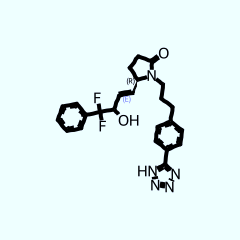 O=C1CC[C@H](/C=C/C(O)C(F)(F)c2ccccc2)N1CCCc1ccc(-c2nnn[nH]2)cc1